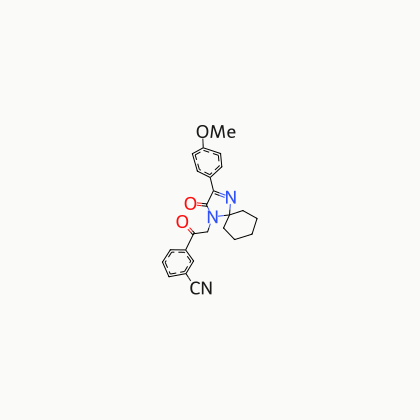 COc1ccc(C2=NC3(CCCCC3)N(CC(=O)c3cccc(C#N)c3)C2=O)cc1